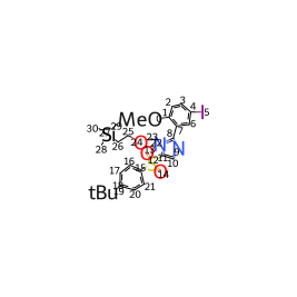 COc1ccc(I)cc1-c1ncc(S(=O)(=O)c2ccc(C(C)(C)C)cc2)n1COCC[Si](C)(C)C